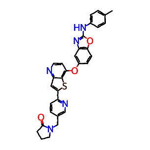 Cc1ccc(Nc2nc3cc(Oc4ccnc5cc(-c6ccc(CN7CCCC7=O)cn6)sc45)ccc3o2)cc1